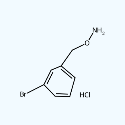 Cl.NOCc1cccc(Br)c1